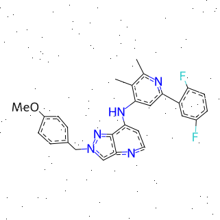 COc1ccc(Cn2cc3nccc(Nc4cc(-c5cc(F)ccc5F)nc(C)c4C)c3n2)cc1